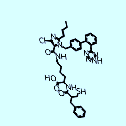 CCCCc1nc(Cl)c(C(=O)NCCCCC(NC(=O)C(CS)Cc2ccccc2)C(=O)O)n1Cc1ccc(-c2ccccc2-c2nn[nH]n2)cc1